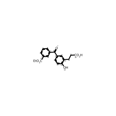 CCOC(=O)c1cccc(C(=O)c2ccc(O)c(CCC(=O)O)c2)c1